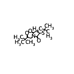 CC(C)(C)SC1CC(=O)N(CC(=O)C(C)(C)C)C1=O